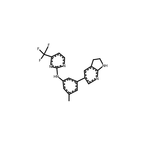 Cc1cc(Nc2nccc(C(F)(F)F)n2)cc(-c2cnc3c(c2)CCN3)c1